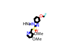 COc1ccnc(C[S+]([O-])c2nc3cc(OCF)ccc3[nH]2)c1OC.[NaH]